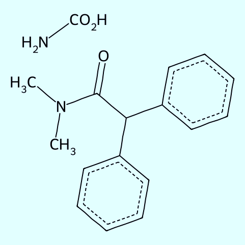 CN(C)C(=O)C(c1ccccc1)c1ccccc1.NC(=O)O